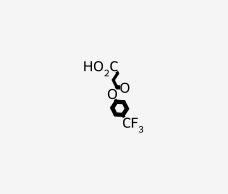 O=C(O)CCC(=O)Oc1ccc(C(F)(F)F)cc1